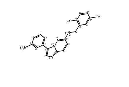 Nc1cccc(-c2cnc3ccc(NCc4cc(F)ccc4F)nn23)c1